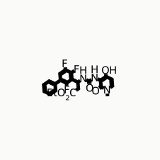 CCOC(=O)CC(NC(=O)Nc1c(O)ccn(C)c1=O)c1c(F)c(F)cc(-c2ccccc2)c1F